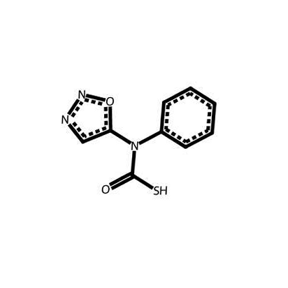 O=C(S)N(c1ccccc1)c1cnno1